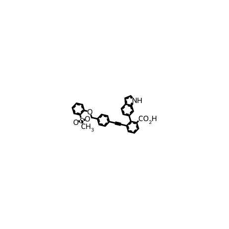 CS(=O)(=O)c1ccccc1OCc1ccc(C#Cc2cccc(C(=O)O)c2-c2ccc3cc[nH]c3c2)cc1